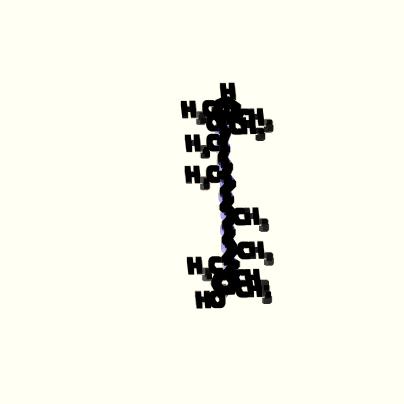 CC1=C(/C=C/C(C)=C/C=C/C(C)=C/C=C/C=C(C)/C=C/C=C(C)/C=C/[C@]23O[C@@H](CC2(C)C)C[C@@]3(C)O)C(C)(C)C[C@H](O)C1